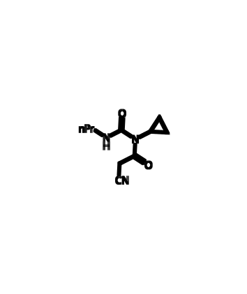 CCCNC(=O)N(C(=O)CC#N)C1CC1